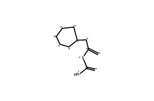 C=C(CCC)SC(=C)CC1CCCCC1